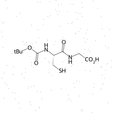 CC(C)(C)OC(=O)N[C@@H](CS)C(=O)NCC(=O)O